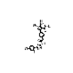 CC(C)n1nc(-c2ccc(CC(=O)Nc3nnc(-c4ccc(Cl)cc4F)s3)cc2)c(C(N)=O)c1N